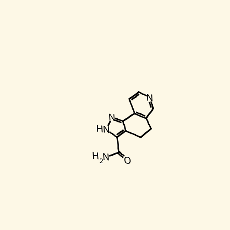 NC(=O)c1[nH]nc2c1CCc1cnccc1-2